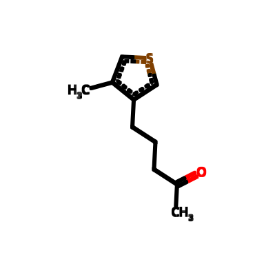 CC(=O)CCCc1cscc1C